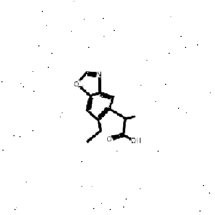 CCc1cc2ocnc2cc1C(C)C(=O)O